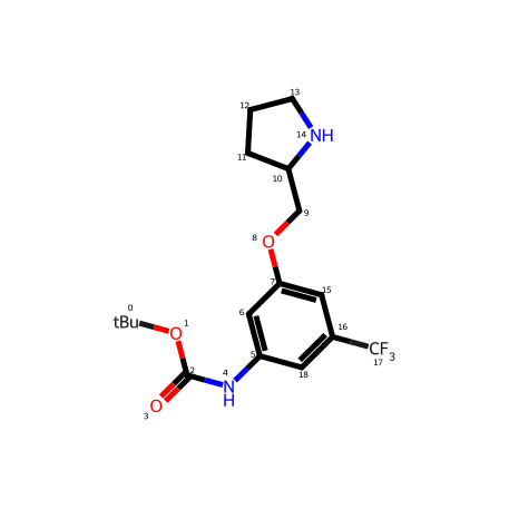 CC(C)(C)OC(=O)Nc1cc(OCC2CCCN2)cc(C(F)(F)F)c1